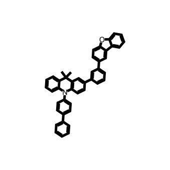 CC1(C)c2ccccc2N(c2ccc(-c3ccccc3)cc2)c2ccc(-c3cccc(-c4ccc5oc6ccccc6c5c4)c3)cc21